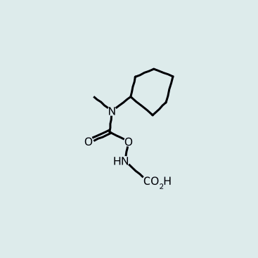 CN(C(=O)ONC(=O)O)C1CCCCC1